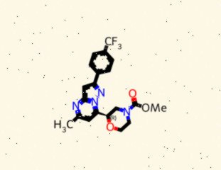 COC(=O)N1CCO[C@@H](c2cc(C)nc3cc(-c4ccc(C(F)(F)F)cc4)nn23)C1